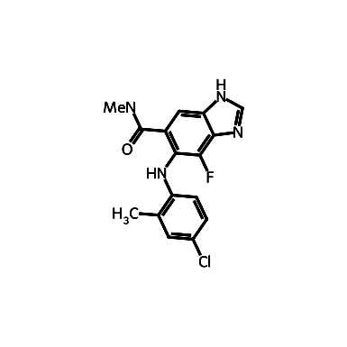 CNC(=O)c1cc2[nH]cnc2c(F)c1Nc1ccc(Cl)cc1C